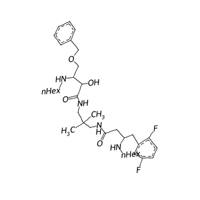 CCCCCCNC(CC(=O)NCC(C)(C)CNC(=O)C(O)C(COCc1ccccc1)NCCCCCC)Cc1cc(F)ccc1F